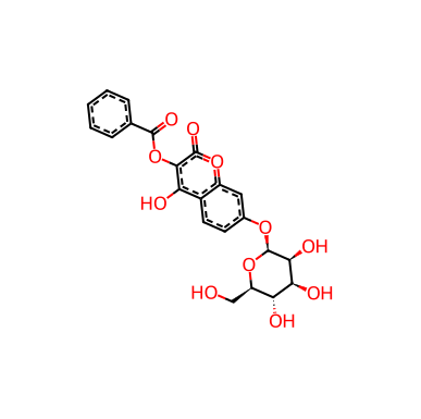 O=C(Oc1c(O)c2ccc(O[C@@H]3O[C@H](CO)[C@@H](O)[C@H](O)[C@@H]3O)cc2oc1=O)c1ccccc1